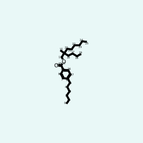 CCCCCCc1ccc(C(=O)OCC(C)(CCCC)CCCCCC)cc1